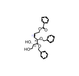 O=C(OC/C=C\[C@@H](OCc1ccccc1)[C@@H](OCc1ccccc1)[C@@H](O)CO)c1ccccc1